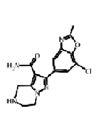 Cc1nc2cc(-c3nn4c(c3C(N)=O)CNCC4)cc(Cl)c2o1